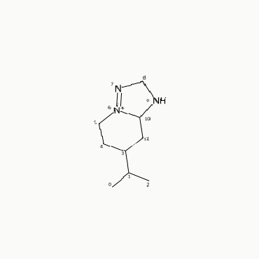 CC(C)C1CC[N+]2=NCNC2C1